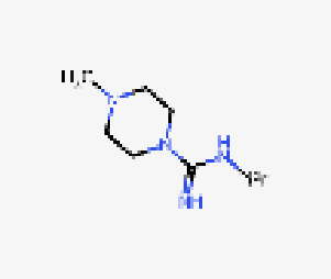 CC(C)NC(=N)N1CCN(C)CC1